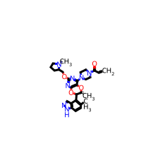 C=CC(=O)N1CCN(c2nc(OCC3CCCN3C)nc3c2O[C@H](C)C(c2c(C)ccc4[nH]ncc24)O3)CC1